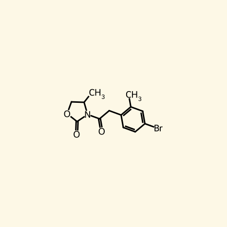 Cc1cc(Br)ccc1CC(=O)N1C(=O)OCC1C